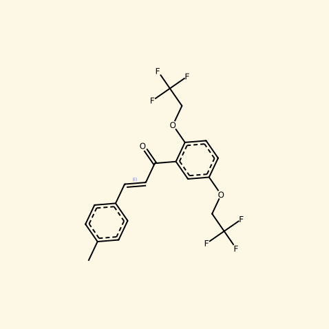 Cc1ccc(/C=C/C(=O)c2cc(OCC(F)(F)F)ccc2OCC(F)(F)F)cc1